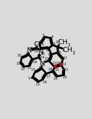 CC1(C)c2ccccc2-c2c(N(c3ccccc3-c3ccccc3)c3nc(Cl)nc4ccccc34)cccc21